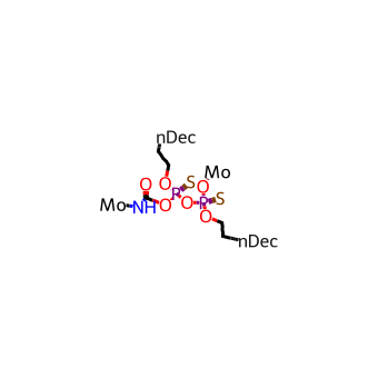 CCCCCCCCCCCCOP(=S)([O][Mo])OP(=S)(OCCCCCCCCCCCC)OC(=O)[NH][Mo]